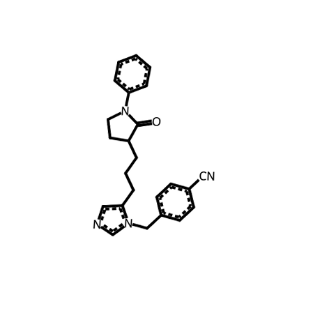 N#Cc1ccc(Cn2cncc2CCCC2CCN(c3ccccc3)C2=O)cc1